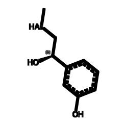 C[AsH]C[C@H](O)c1cccc(O)c1